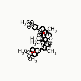 COc1ccc(CN(Cc2ccc(OC)cc2)c2cc(C)c(C(F)(F)F)c(-c3c(Cl)c4c5c(nc(OCC6CCN(S(C)(=O)=O)CC6)nc5c3F)N([C@H](C)c3cccnc3NC(=O)OC(C)(C)C)CCO4)n2)cc1